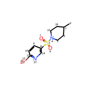 CC1CCN(S(=O)(=O)c2ccc(Br)nc2)CC1